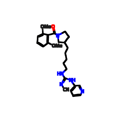 COc1cccc(OC)c1C(=O)N1CCC(CCCCCNC(=NC#N)Nc2cccnc2)C1